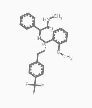 CNC(=O)C(N[C@@H](CCc1ccc(C(F)(F)F)cc1)c1ccccc1OC)c1ccccc1